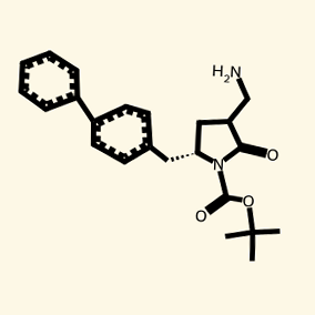 CC(C)(C)OC(=O)N1C(=O)C(CN)C[C@H]1Cc1ccc(-c2ccccc2)cc1